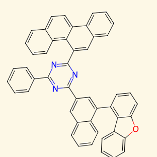 c1ccc(-c2nc(-c3cc(-c4cccc5oc6ccccc6c45)c4ccccc4c3)nc(-c3cc4ccccc4c4ccc5ccccc5c34)n2)cc1